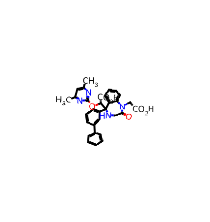 Cc1cc(C)nc(OC(C(=O)O)C2(c3cccc(-c4ccccc4)c3)NCC(=O)N(CC(=O)O)c3ccccc32)n1